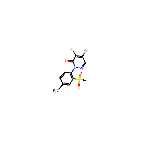 CS(=O)(=O)c1cc(C(F)(F)F)ccc1-n1ncc(Br)c(Br)c1=O